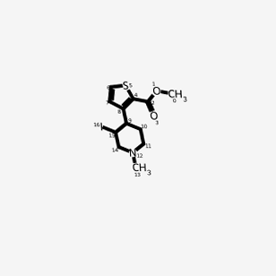 COC(=O)c1sccc1C1CCN(C)CC1I